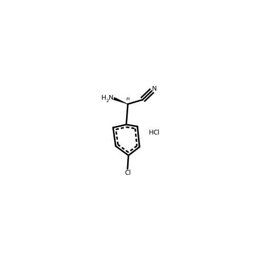 Cl.N#C[C@H](N)c1ccc(Cl)cc1